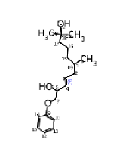 C[C@@H](C/C=C/C(O)COc1ccccc1)CCCC(C)(C)O